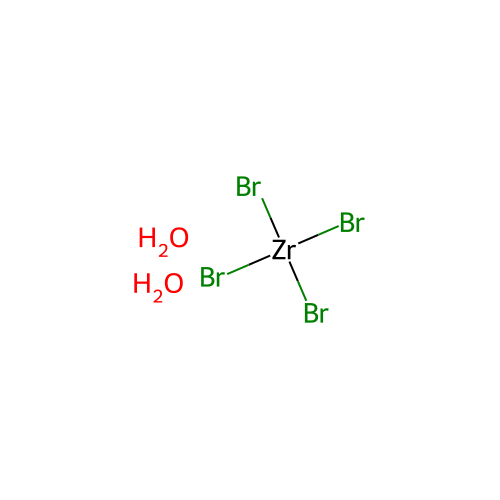 O.O.[Br][Zr]([Br])([Br])[Br]